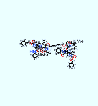 CN[C@@H](C)C(=O)N[C@H](C(=O)N1CC[C@@H]2[C@H]1[C@@H](C(=O)Nc1ccccc1)CN2C(=O)OCc1ccccc1)[C@@H](C)OCC#CC#CCO[C@H](C)[C@H](NC(=O)[C@H](C)NC)C(=O)N1CC[C@@H]2[C@H]1[C@@H](C(=O)Nc1ccccc1)CN2C(=O)OCc1ccccc1